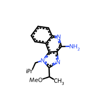 COC(C)c1nc2c(N)nc3ccccc3c2n1CC(C)C